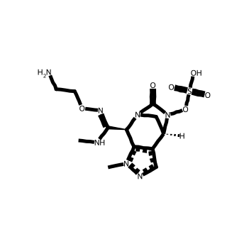 CN/C(=N\OCCN)[C@@H]1c2c(cnn2C)[C@H]2CN1C(=O)N2OS(=O)(=O)O